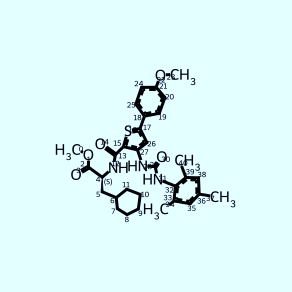 COC(=O)[C@H](CC1CCCCC1)NC(=O)c1sc(-c2ccc(OC)cc2)cc1NC(=O)Nc1c(C)cc(C)cc1C